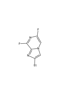 CCc1cn2cc(F)nc(F)c2n1